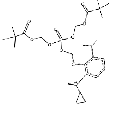 CC(C)c1cccc([C@H](C)C2CC2)c1OCOP(=O)(OCOC(=O)C(C)(C)C)OCOC(=O)C(C)(C)C